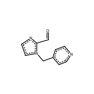 O=Cc1nc[c]n1Cc1ccncc1